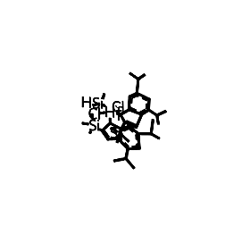 CC(C)c1cc(C(C)C)c2c(c1)[CH]([Hf]([Cl])([Cl])([CH]1C([Si](C)(C)C)=Cc3c(C(C)C)cc(C(C)C)cc31)[SiH](C)C)C([Si](C)(C)C)=C2